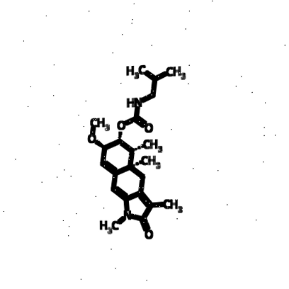 CO[C@@H]1C=C2C=C3C(=C(C)C(=O)N3C)C[C@]2(C)[C@@H](C)[C@H]1OC(=O)NCC(C)C